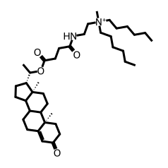 CCCCCC[N+](C)(CCCCCC)CCNC(=O)CCC(=O)OC(C)[C@H]1CCC2C3CCC4=CC(=O)CC[C@]4(C)C3CC[C@@]21C